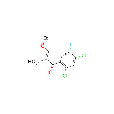 CCOC=C(C(=O)O)C(=O)c1cc(F)c(Cl)cc1Cl